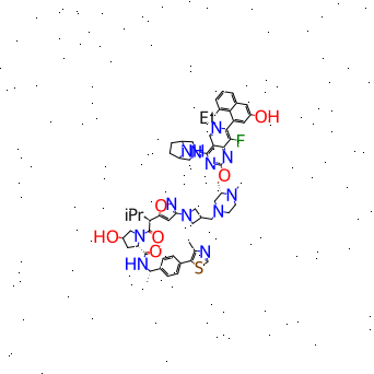 CCc1cccc2cc(O)cc(-c3ncc4c(N5CC6CCC(C5)N6)nc(OC[C@H]5CN(CC6CN(c7cc([C@@H](C(=O)N8C[C@H](O)C[C@H]8C(=O)N[C@@H](C)c8ccc(-c9scnc9C)cc8)C(C)C)on7)C6)CCN5C)nc4c3F)c12